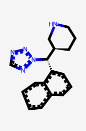 c1ccc2c([C@@H]([C@@H]3CCCNC3)n3ncnn3)cccc2c1